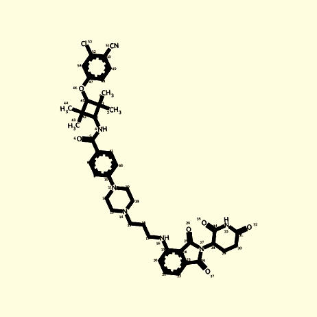 CC1(C)C(NC(=O)c2ccc(N3CCN(CCCNc4cccc5c4C(=O)N(C4CCC(=O)NC4=O)C5=O)CC3)cc2)C(C)(C)C1Oc1ccc(C#N)c(Cl)c1